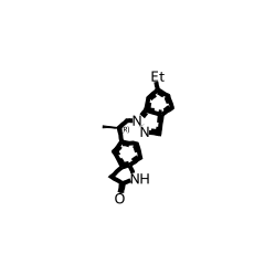 CCc1ccc2cnn(C[C@H](C)c3ccc4c(c3)CC(=O)N4)c2c1